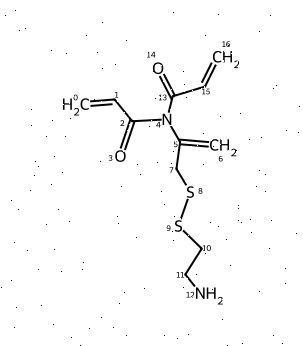 C=CC(=O)N(C(=C)CSSCCN)C(=O)C=C